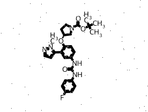 Cn1nccc1-c1cc(NC(=O)Nc2ccc(F)cc2)ccc1O[C@H]1CCN(C(=O)OC(C)(C)C)C1